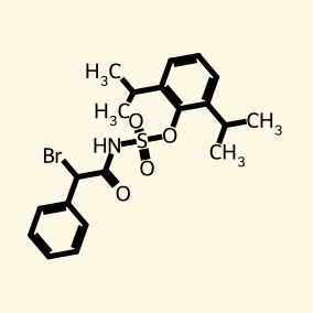 CC(C)c1cccc(C(C)C)c1OS(=O)(=O)NC(=O)C(Br)c1ccccc1